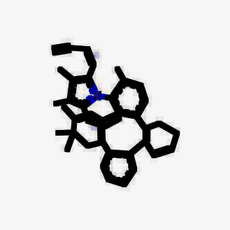 C#C/C=C\c1c(C)c(C)c(/C=C\C)n1-c1c(C)ccc2c1C1=C(CC(C)(C)C(C)=C1)c1ccccc1C1=C2CCC=C1